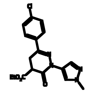 CCOC(=O)C1CC(c2ccc(Cl)cc2)=NN(c2cnn(C)c2)C1=O